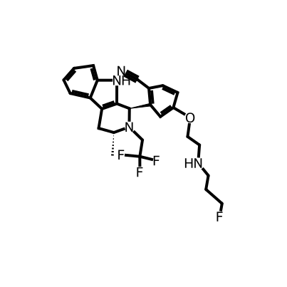 C[C@@H]1Cc2c([nH]c3ccccc23)[C@@H](c2cc(OCCNCCCF)ccc2C#N)N1CC(F)(F)F